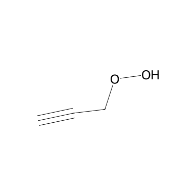 C#CCOO